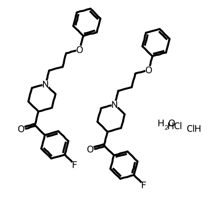 Cl.Cl.O.O=C(c1ccc(F)cc1)C1CCN(CCCOc2ccccc2)CC1.O=C(c1ccc(F)cc1)C1CCN(CCCOc2ccccc2)CC1